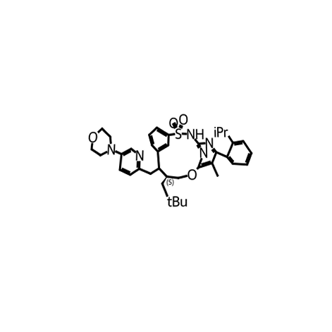 Cc1c2nc(nc1-c1ccccc1C(C)C)NS(=O)(=O)c1cccc(c1)C(Cc1ccc(N3CCOCC3)cn1)[C@H](CC(C)(C)C)CO2